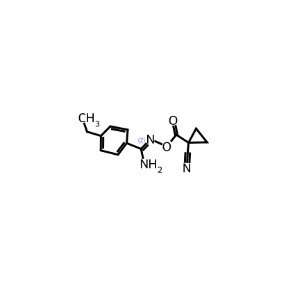 CCc1ccc(/C(N)=N/OC(=O)C2(C#N)CC2)cc1